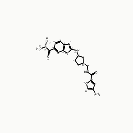 Cc1cc(C(=O)NC[C@H]2CC[C@@H](Nc3nc4ccc(C(=O)N(C)C)cc4s3)C2)on1